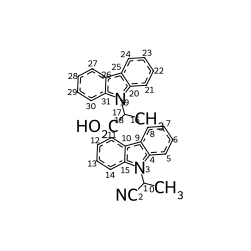 CC(C#N)n1c2ccccc2c2ccccc21.CC(C(=O)O)n1c2ccccc2c2ccccc21